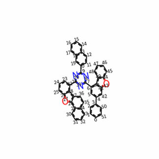 c1ccc(-c2cc(-c3nc(-c4ccc5ccccc5c4)nc(-c4cccc5oc6c7ccccc7ccc6c45)n3)c3c(c2)oc2ccccc23)cc1